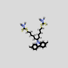 Cc1ccc2c3ccc(C)cc3n(C(CCCCCSC(=S)N(C)C)CCCCCSC(=S)N(C)C)c2c1